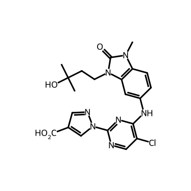 Cn1c(=O)n(CCC(C)(C)O)c2cc(Nc3nc(-n4cc(C(=O)O)cn4)ncc3Cl)ccc21